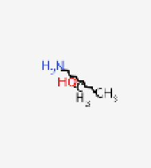 CCCCCCCCCCN.CCO